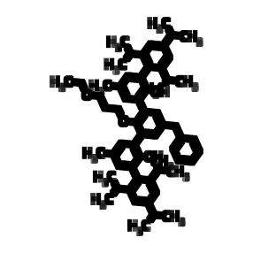 CCOCCCOc1c(-c2cc(C)cc(-c3c(C(C)C)cc(C(C)C)cc3C(C)C)c2O)cc(Cc2ccccc2)cc1-c1cc(C)cc(-c2c(C(C)C)cc(C(C)C)cc2C(C)C)c1O